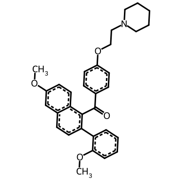 COc1ccc2c(C(=O)c3ccc(OCCN4CCCCC4)cc3)c(-c3ccccc3OC)ccc2c1